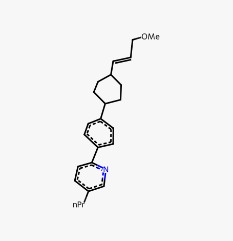 CCCc1ccc(-c2ccc(C3CCC(C=CCOC)CC3)cc2)nc1